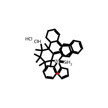 CC12C(=C3Cc4ccccc4C3=C3C=CCCC31)[C](C)([Zr](=[SiH2])([C]1=CC=CC1)([c]1ccccc1)[c]1ccccc1)C(C)(C)C(C)(C)C2(C)C.Cl.Cl